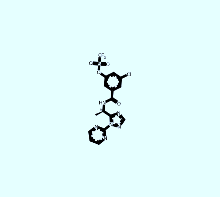 C[C@@H](NC(=O)c1cc(Cl)cc(OS(=O)(=O)C(F)(F)F)c1)c1ncnn1-c1ncccn1